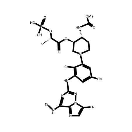 CCNc1nc(Nc2cc(C#N)cc(N3CC[C@@H](NC(=O)OC)[C@H](OC(=O)[C@H](C)OP(=O)(O)O)C3)c2Cl)nn2c(C#N)cnc12